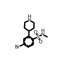 CNS(=O)(=O)c1ccc(Br)cc1C1CCNCC1